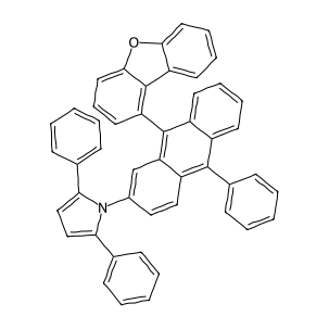 c1ccc(-c2c3ccccc3c(-c3cccc4oc5ccccc5c34)c3cc(-n4c(-c5ccccc5)ccc4-c4ccccc4)ccc23)cc1